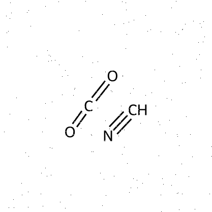 C#N.O=C=O